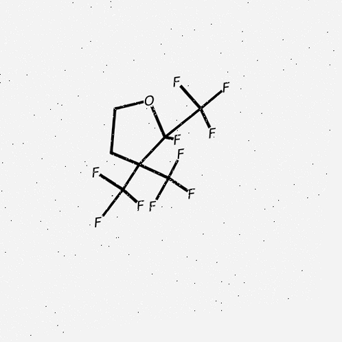 FC(F)(F)C1(F)OCCC1(C(F)(F)F)C(F)(F)F